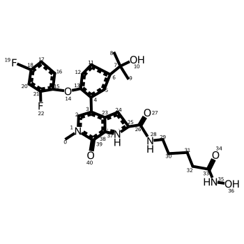 Cn1cc(-c2cc(C(C)(C)O)ccc2Oc2ccc(F)cc2F)c2cc(C(=O)NCCCCC(=O)NO)[nH]c2c1=O